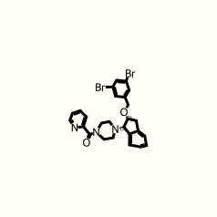 O=C(c1ccccn1)N1CCN([C@H]2c3ccccc3C[C@H]2OCc2cc(Br)cc(Br)c2)CC1